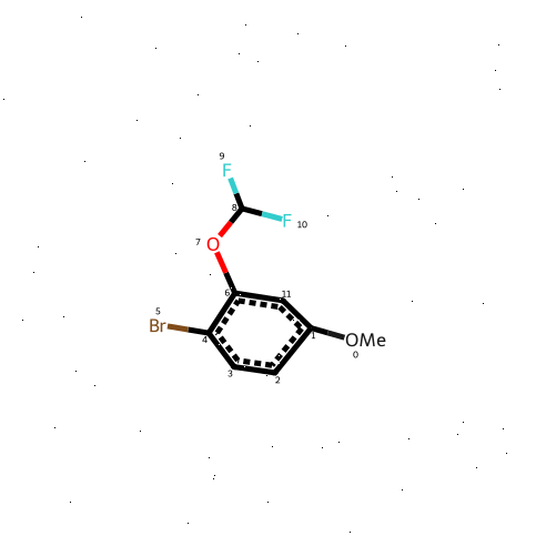 COc1ccc(Br)c(OC(F)F)c1